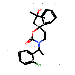 CC(c1ccccc1Cl)N1CC[C@@](CC(C)(C)O)(c2ccccc2)OC1=O